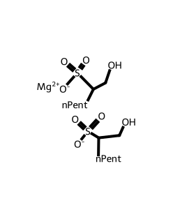 CCCCCC(CO)S(=O)(=O)[O-].CCCCCC(CO)S(=O)(=O)[O-].[Mg+2]